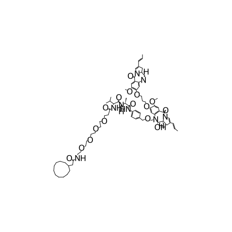 C/C=C/C1=CN2C(=O)c3cc(OC)c(OCCCOc4cc5c(cc4OC)C(=O)N4C=C(/C=C/C)C[C@H]4[C@H](O)N5COCc4ccc(NC(=O)[C@H](C)NC(=O)[C@@H](NC(=O)CCOCCOCCOCCOCCNC(=O)CC5CCCCCCCCCC5)C(C)C)cc4)cc3N=C[C@@H]2C1